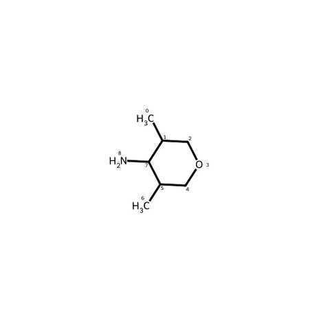 CC1COCC(C)C1N